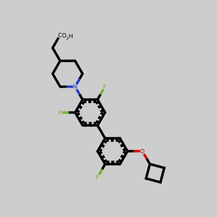 O=C(O)CC1CCN(c2c(F)cc(-c3cc(F)cc(OC4CCC4)c3)cc2F)CC1